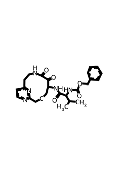 CC(C)C(NC(=O)OCc1ccccc1)C(=O)NC1CCCc2nccc(n2)CCNC(=O)C1=O